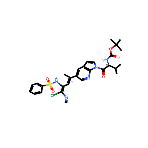 C=N/C(Cl)=C(\C=C(/C)c1cnc2c(ccn2C(=O)[C@@H](NC(=O)OC(C)(C)C)C(C)C)c1)NS(=O)(=O)c1ccccc1